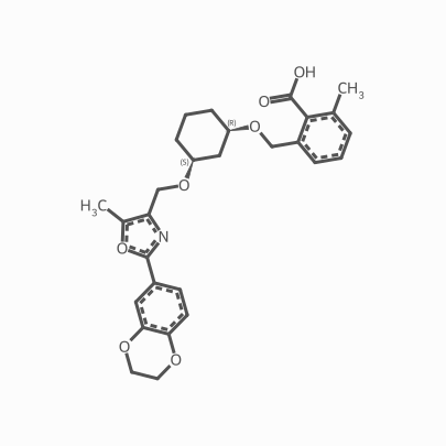 Cc1cccc(CO[C@@H]2CCC[C@H](OCc3nc(-c4ccc5c(c4)OCCO5)oc3C)C2)c1C(=O)O